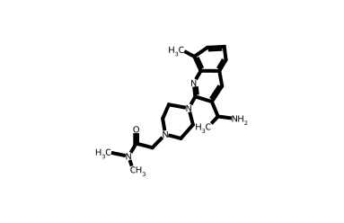 Cc1cccc2cc(C(C)N)c(N3CCN(CC(=O)N(C)C)CC3)nc12